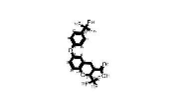 O=C(O)C1Cc2cc(Oc3ccc(C(F)(F)F)cc3)ccc2OC1C(F)(F)F